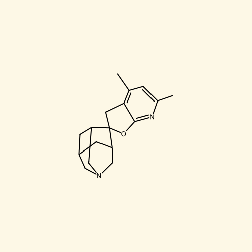 Cc1cc(C)c2c(n1)OC1(C2)C2CC3CC1CN(C3)C2